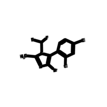 Cc1nc(Br)c(-c2ccc(Cl)cc2Cl)n1C(F)F